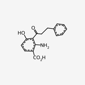 Nc1c(C(=O)O)ccc(O)c1C(=O)CCc1ccccc1